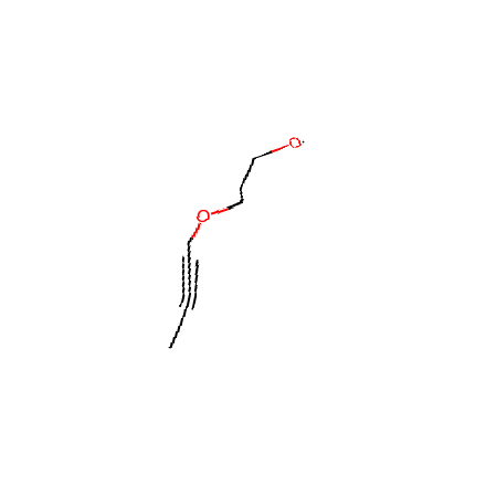 CC#COCC[O]